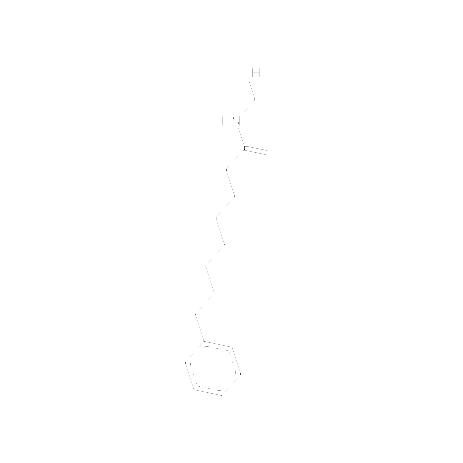 CCNC(=O)CCCCCCCc1ccccc1